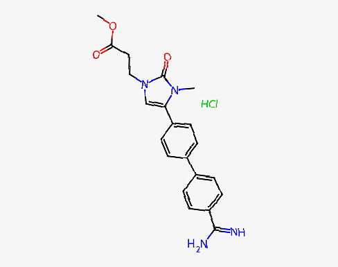 COC(=O)CCn1cc(-c2ccc(-c3ccc(C(=N)N)cc3)cc2)n(C)c1=O.Cl